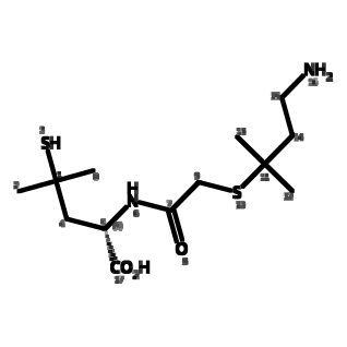 CC(C)(S)C[C@H](NC(=O)CSC(C)(C)CCN)C(=O)O